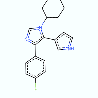 Fc1ccc(-c2ncn(C3CCCCC3)c2-c2cc[nH]c2)cc1